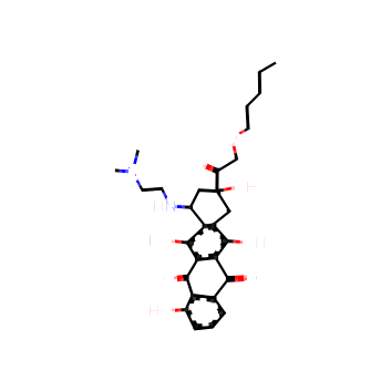 CCCCCOCC(=O)C1(O)Cc2c(O)c3c(c(O)c2C(NCCN(C)C)C1)C(=O)c1c(O)cccc1C3=O